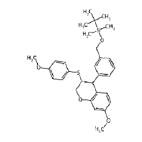 COc1ccc(SC2COc3cc(OC)ccc3C2c2cccc(CO[Si](C)(C)C(C)(C)C)c2)cc1